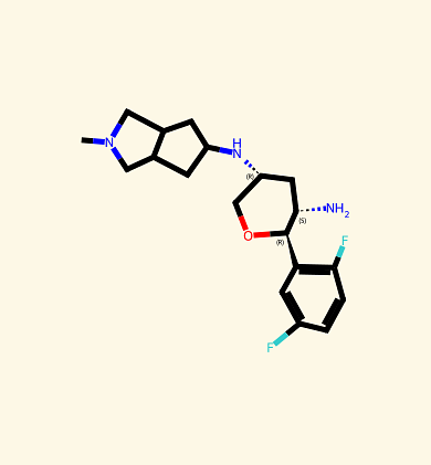 CN1CC2CC(N[C@H]3CO[C@H](c4cc(F)ccc4F)[C@@H](N)C3)CC2C1